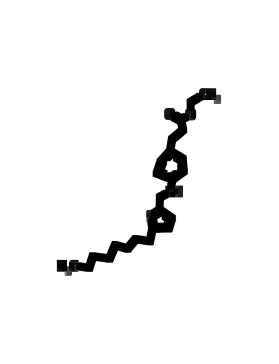 CCCCCCCCc1ccc(CNc2ccc(CCC(=O)OCC)cc2)s1